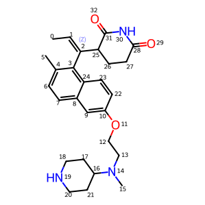 C/C=C(\c1c(C)ccc2cc(OCCN(C)C3CCNCC3)ccc12)C1CCC(=O)NC1=O